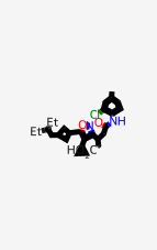 CCC(CC)CC1CC(c2onc(C(CC(=O)O)CC(=O)Nc3ccc(C)cc3Cl)c2C2CC2)C1